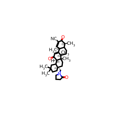 C[C@@H]1C(=O)C(C#N)=C[C@]2(C)C3=CC(=O)[C@@H]4C5CC(C)(C)CC[C@]5(CN5CCCC5=O)CC[C@@]4(C)[C@]3(C)CCC12